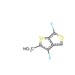 O=C(O)c1sc2c(F)scc2c1F